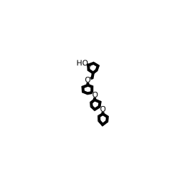 O[C@@H]1CCCC(COC2CCCC(OC3CCCC(OC4CCCCC4)C3)C2)C1